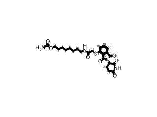 NC(=O)OCCCCCCCCNC(=O)COc1cccc2c1C(=O)N(C1CCC(=O)NC1=O)C2=O